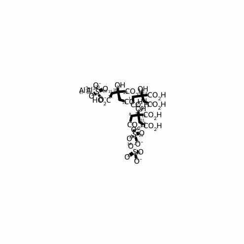 O=C(O)CC(O)(CC(=O)O)C(=O)O.O=C(O)CC(O)(CC(=O)O)C(=O)O.O=C(O)CC(O)(CC(=O)O)C(=O)O.O=S(=O)([O-])[O-].O=S(=O)([O-])[O-].O=S(=O)([O-])[O-].[Al+3].[Al+3]